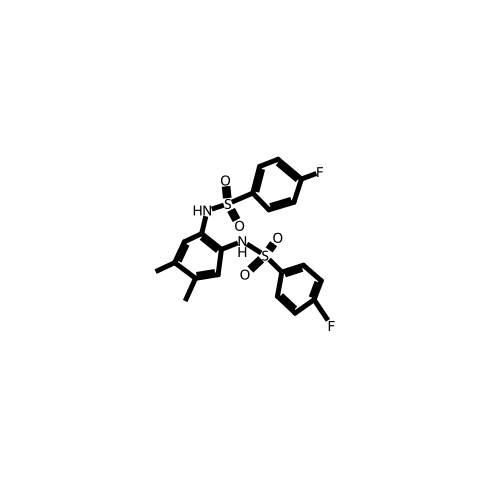 Cc1cc(NS(=O)(=O)c2ccc(F)cc2)c(NS(=O)(=O)c2ccc(F)cc2)cc1C